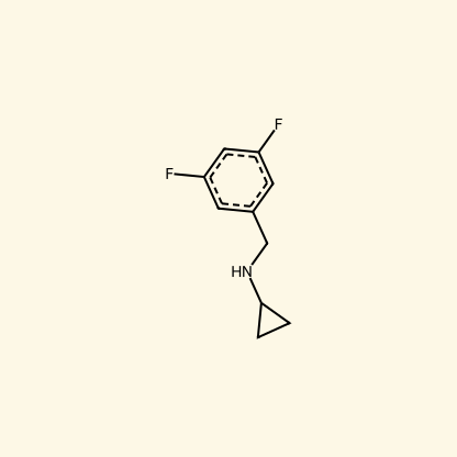 Fc1cc(F)cc(CNC2CC2)c1